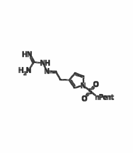 CCCCCS(=O)(=O)n1ccc(CC=NNC(=N)N)c1